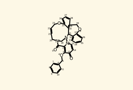 O=C1c2c(OCc3ccccc3)c(=O)ccn2N2CN1C/C=C\COc1cccc3c1C2c1ccccc1OC3